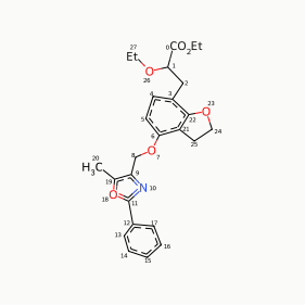 CCOC(=O)C(Cc1ccc(OCc2nc(-c3ccccc3)oc2C)c2c1OCC2)OCC